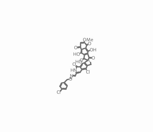 COC1=CC(=O)c2c(O)c3c(c(O)c2C1=O)C(=O)[C@]1(CCc2c1c(O)c1c(=O)[nH]c(C=NOCc4ccc(Cl)cc4)cc1c2Cl)C3=O